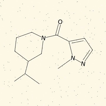 CC(C)C1CCCN(C(=O)c2ccnn2C)C1